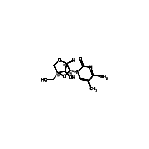 Cc1cn([C@@H]2O[C@@]3(CO)CO[C@H]2C3O)c(=O)nc1N